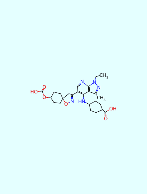 CCn1nc(C)c2c(NC3CCC(C(=O)O)CC3)c(C3=NOC4(CCC(OC(=O)O)CC4)C3)cnc21